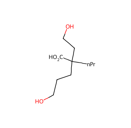 CCCC(CCO)(CCCO)C(=O)O